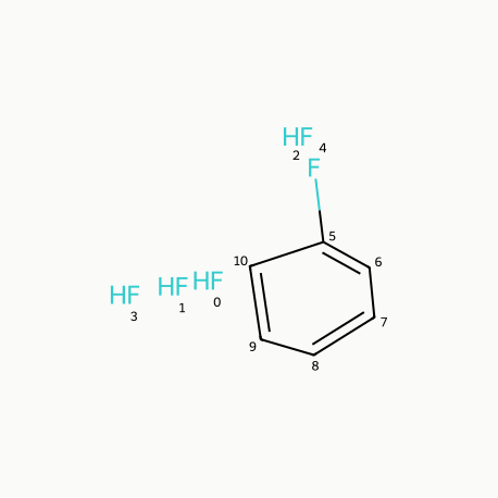 F.F.F.F.Fc1ccccc1